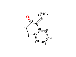 CCCC(C)C=C1C(=O)CCc2ccccc21